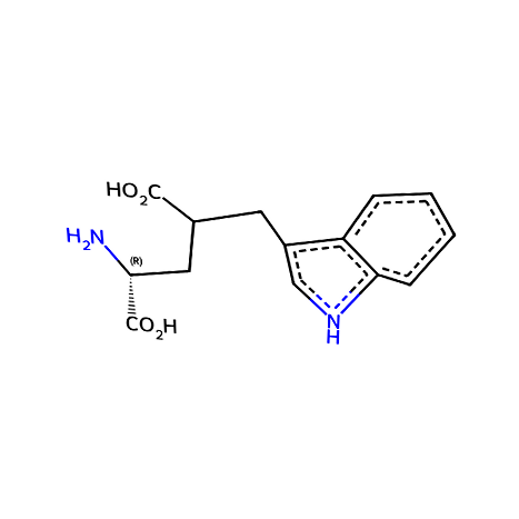 N[C@H](CC(Cc1c[nH]c2ccccc12)C(=O)O)C(=O)O